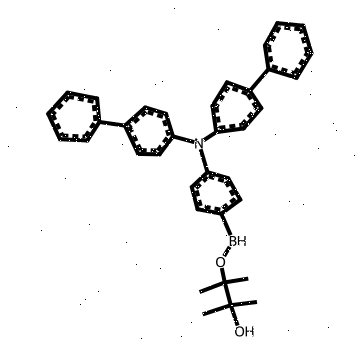 CC(C)(O)C(C)(C)OBc1ccc(N(c2ccc(-c3ccccc3)cc2)c2ccc(-c3ccccc3)cc2)cc1